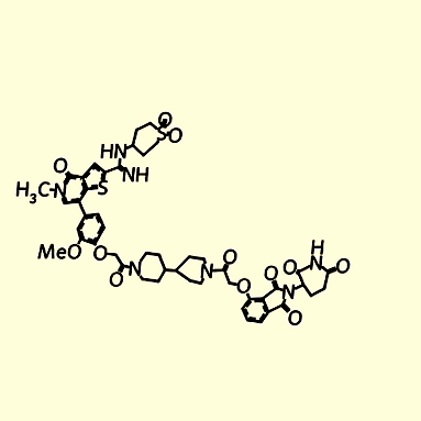 COc1cc(-c2cn(C)c(=O)c3cc(C(=N)NC4CCS(=O)(=O)CC4)sc23)ccc1OCC(=O)N1CCC(C2CCN(C(=O)COc3cccc4c3C(=O)N(C3CCC(=O)NC3=O)C4=O)CC2)CC1